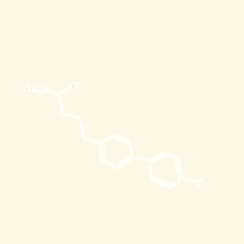 CCOC(=O)C(OCCc1ccc(-c2ccc(Cl)cc2)cc1)C(C)C